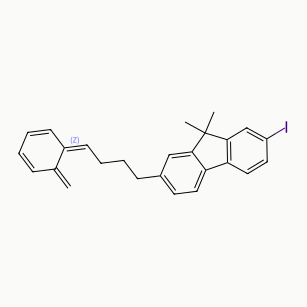 C=c1cccc/c1=C/CCCc1ccc2c(c1)C(C)(C)c1cc(I)ccc1-2